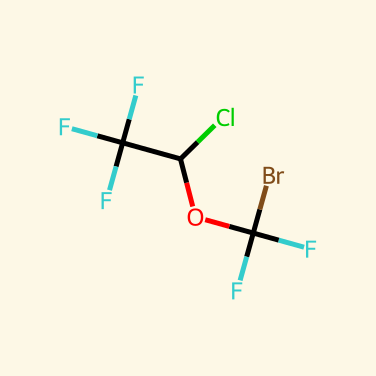 FC(F)(Br)OC(Cl)C(F)(F)F